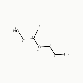 OCC(I)OCCF